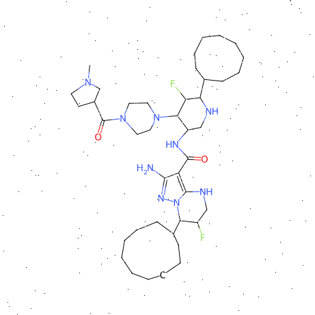 CN1CCC(C(=O)N2CCN(C3C(NC(=O)c4c(N)nn5c4NCC(F)C5C4CCCCCCCCC4)CNC(C4CCCCCCCC4)C3F)CC2)C1